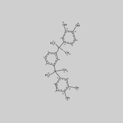 CC(C)(c1cccc(C(C)(C)c2ccc(O)c(O)c2)c1)c1ccc(O)c(O)c1